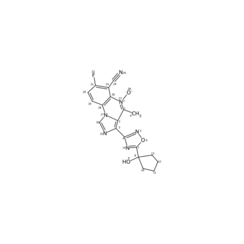 Cc1c2c(-c3noc(C4(O)CCCC4)n3)ncn2c2ccc(F)c(C#N)c2[n+]1[O-]